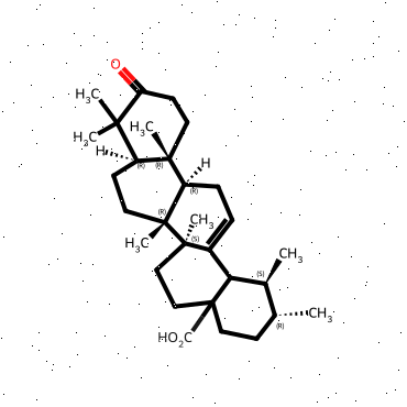 C[C@@H]1CCC2(C(=O)O)CC[C@]3(C)C(=CC[C@@H]4[C@@]5(C)CCC(=O)C(C)(C)[C@@H]5CC[C@]43C)C2[C@H]1C